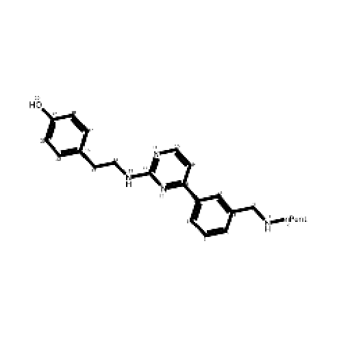 CCCCCNCc1cccc(-c2ccnc(NCCc3ccc(O)cc3)n2)c1